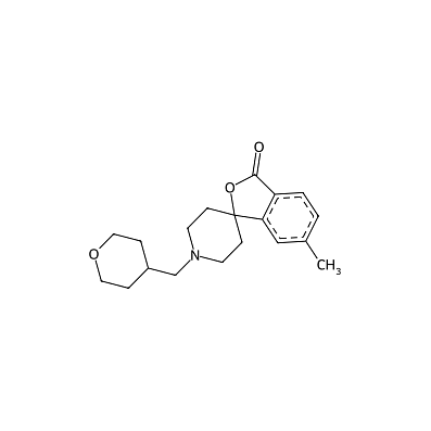 Cc1ccc2c(c1)C1(CCN(CC3CCOCC3)CC1)OC2=O